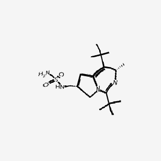 C[C@@H]1N=C(C(C)(C)C)N2C[C@@H](NS(N)(=O)=O)CC2=C1C(C)(C)C